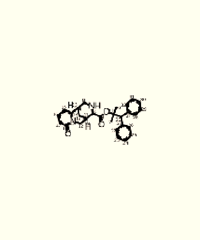 CC(C)(OC(=O)C1NC[C@H]2C[C@@H]1Cn1c2cccc1=O)C(c1ccccc1)c1ccccc1